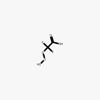 O=C(O)C(F)(F)OOS